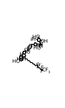 CC(C)c1cc(-c2nnc(O)n2-c2ccc(CN3CCN(C(=O)Oc4ccc5c(c4)C[C@@H](CCCCCCCCC[S+]([O-])CCCC(F)(F)C(F)(F)F)[C@H]4[C@@H]6CC[C@H](O)[C@H]6CC[C@H]54)CC3)cc2)c(O)cc1O